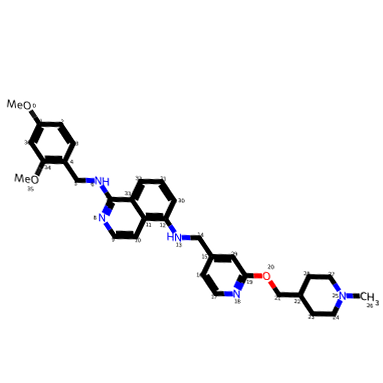 COc1ccc(CNc2nccc3c(NCc4ccnc(OCC5CCN(C)CC5)c4)cccc23)c(OC)c1